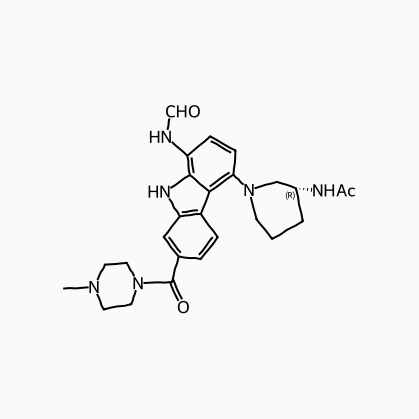 CC(=O)N[C@@H]1CCCN(c2ccc(NC=O)c3[nH]c4cc(C(=O)N5CCN(C)CC5)ccc4c23)C1